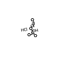 CC(COCc1ccccc1)Oc1cccc([C@H](O)CN(Cc2ccccc2)Cc2ccccc2)c1.Cl